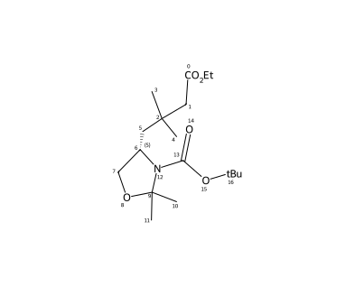 CCOC(=O)CC(C)(C)C[C@H]1COC(C)(C)N1C(=O)OC(C)(C)C